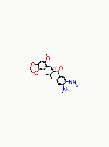 COc1cc2c(cc1/C=C(/C(=O)c1ccc(N(C)C)c(N)c1)C(C)C)OCCO2